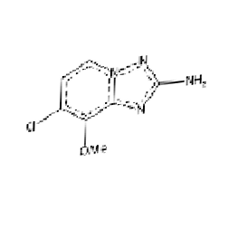 COc1c(Cl)ccn2nc(N)nc12